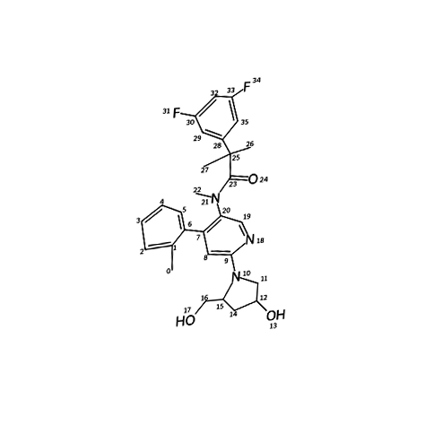 Cc1ccccc1-c1cc(N2CC(O)CC2CO)ncc1N(C)C(=O)C(C)(C)c1cc(F)cc(F)c1